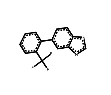 FC(F)(F)c1cc[c]cc1-c1ccc2scnc2c1